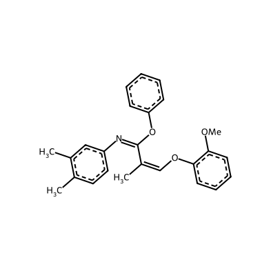 COc1ccccc1OC=C(C)C(=Nc1ccc(C)c(C)c1)Oc1ccccc1